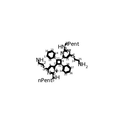 CCCCCNc1nc(SCCN)cc(C2[C@H](c3ccccc3)[C@H](c3cc(SCCN)nc(NCCCCC)n3)[C@H]2c2ccccc2)n1